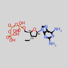 CC[C@H]1C[C@H](n2cnc3c(N)nc(N)nc32)O[C@@H]1COP(=O)(O)OP(=O)(O)OP(=O)(O)O